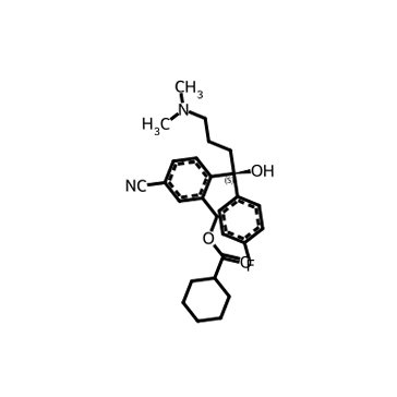 CN(C)CCC[C@](O)(c1ccc(F)cc1)c1ccc(C#N)cc1COC(=O)C1CCCCC1